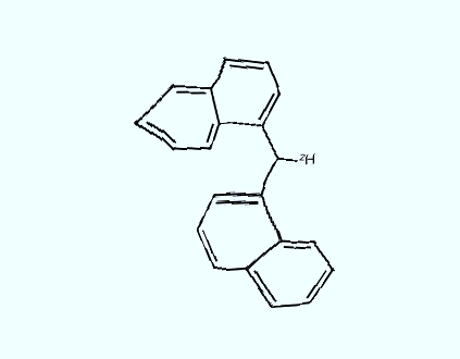 [2H]C(c1cccc2ccccc12)c1cccc2ccccc12